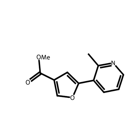 COC(=O)c1coc(-c2cccnc2C)c1